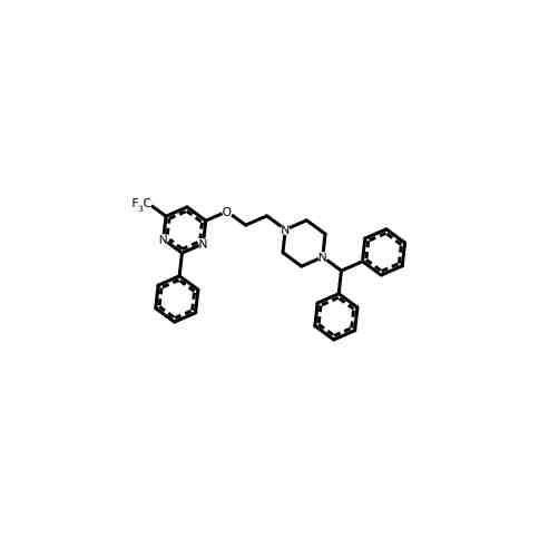 FC(F)(F)c1cc(OCCN2CCN(C(c3ccccc3)c3ccccc3)CC2)nc(-c2ccccc2)n1